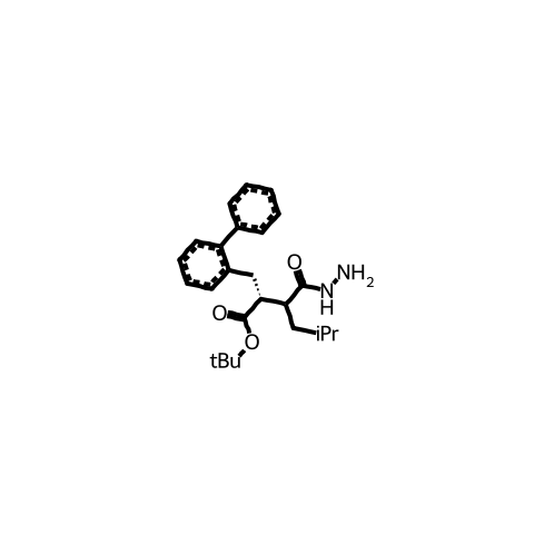 CC(C)CC(C(=O)NN)[C@@H](Cc1ccccc1-c1ccccc1)C(=O)OC(C)(C)C